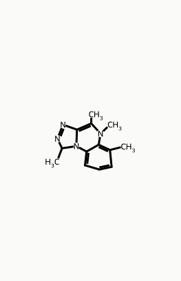 CC1=C2N=NC(C)N2c2cccc(C)c2N1C